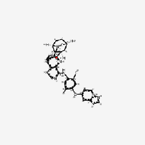 C=CC(=O)N1C[C@H]2CC[C@@H]1C[C@H](c1ccc3ncnc(Nc4cc(C)c(Oc5ccn6ncnc6c5)cc4F)c3n1)C2